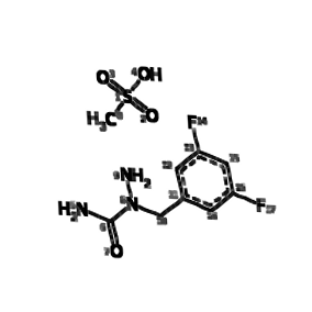 CS(=O)(=O)O.NC(=O)N(N)Cc1cc(F)cc(F)c1